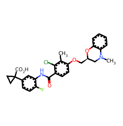 Cc1c(OC[C@@H]2CN(C)c3ccccc3O2)ccc(C(=O)Nc2cc(C3(C(=O)O)CC3)ccc2F)c1Cl